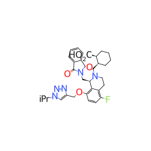 CC(C)n1cc(COc2ccc(F)c3c2[C@@H](CN2Cc4ccccc4C2=O)N(C(=O)[C@@H]2CCCC[C@@H]2C(=O)O)CC3)nn1